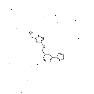 OCc1cc(OCc2cccc(-c3ccsc3)c2)no1